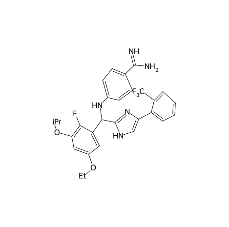 CCOc1cc(OC(C)C)c(F)c(C(Nc2ccc(C(=N)N)cc2)c2nc(-c3ccccc3C(F)(F)F)c[nH]2)c1